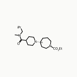 CCOC(=O)N1CCC[C@@H](N2CCC(C(=O)N(C)CC(C)C)CC2)CC1